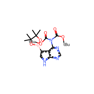 CC(C)(C)OC(=O)N(C(=O)OC(C)(C)C)c1ncnc2[nH]cc(B3OC(C)(C)C(C)(C)O3)c12